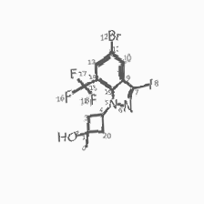 CC1(O)CC(n2nc(I)c3cc(Br)cc(C(F)(F)F)c32)C1